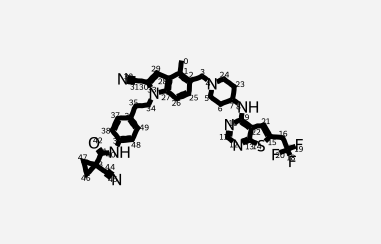 Cc1c(CN2CCC(Nc3ncnc4sc(CC(F)(F)F)cc34)CC2)ccc2c1cc(C#N)n2CCc1ccc(NC(=O)C2(C#N)CC2)cc1